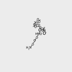 CC(=O)OC[C@H]1OC(Oc2ccc(C(=O)NCCOCCOCCOCCN)cc2OS(=O)(F)=Nc2ccccc2)C[C@@H](OC(C)=O)[C@H]1OC(C)=O